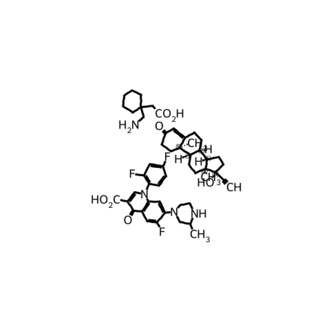 C#C[C@]1(O)CC[C@H]2[C@@H]3CCC4=CC(=O)CC[C@]4(C)[C@H]3CC[C@@]21C.CC1CN(c2cc3c(cc2F)c(=O)c(C(=O)O)cn3-c2ccc(F)cc2F)CCN1.NCC1(CC(=O)O)CCCCC1